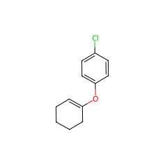 Clc1ccc(OC2=CCCCC2)cc1